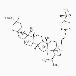 C=C(C)[C@@H]1CC[C@]2(NCCN3CCC(S(C)(=O)=O)CC3)CC[C@]3(C)[C@H](CC[C@@H]4[C@@]5(C)CC=C(C=C6CCC(F)(C(=O)OCC)CC6)C(C)(C)[C@@H]5CC[C@]43C)[C@@H]12